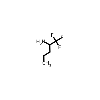 CCCC(N)C(F)(F)F